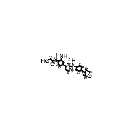 Nc1cc(-c2ccnc(Nc3ccc(N4CCOCC4)cc3)n2)ccc1NC(=O)CO